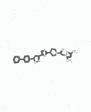 Cc1cc(C(F)(F)F)nn1CC(=O)N1CCC(c2nc(C3=NOC(c4ccc(-c5ccccc5)cc4)C3)cs2)CC1